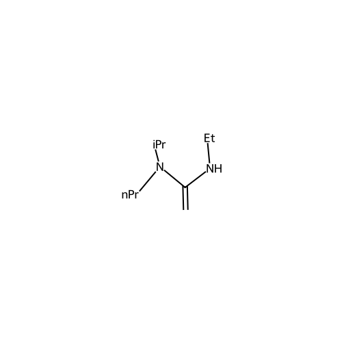 C=C(NCC)N(CCC)C(C)C